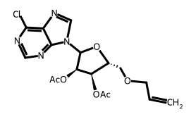 C=CCOC[C@H]1OC(n2cnc3c(Cl)ncnc32)[C@H](OC(C)=O)[C@@H]1OC(C)=O